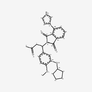 COc1ccc(C(CC(C)=O)N2C(=O)c3cccc(-c4cc[nH]c4)c3C2=O)cc1OC1CCCC1